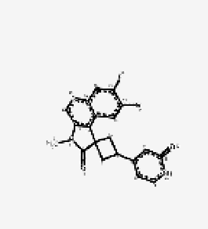 CN1C(=O)C2(CC(c3cc[nH]c(=O)c3)C2)c2c1cnc1cc(F)c(Br)cc21